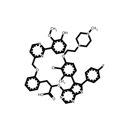 COc1c(O)cccc1-c1nccc(COc2ccccc2CC(Oc2ncnc3sc(-c4ccc(F)cc4)c(-c4ccc(OCCN5CCN(C)CC5)c(Cl)c4C)c23)C(=O)O)n1